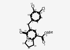 COC(=O)c1cc(Cc2ccc(Cl)c(Cl)c2)c(=O)n2c1CCC2